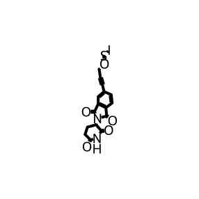 O=C1CCC(N2C(=O)c3ccc(C#CCOSI)cc3C2=O)C(=O)N1